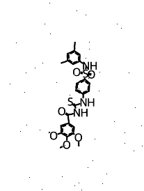 COc1cc(C(=O)NC(=S)Nc2ccc(S(=O)(=O)Nc3cc(C)cc(C)c3)cc2)cc(OC)c1OC